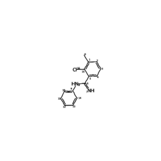 Cc1cccc(C(=N)Nc2ccccc2)c1Cl